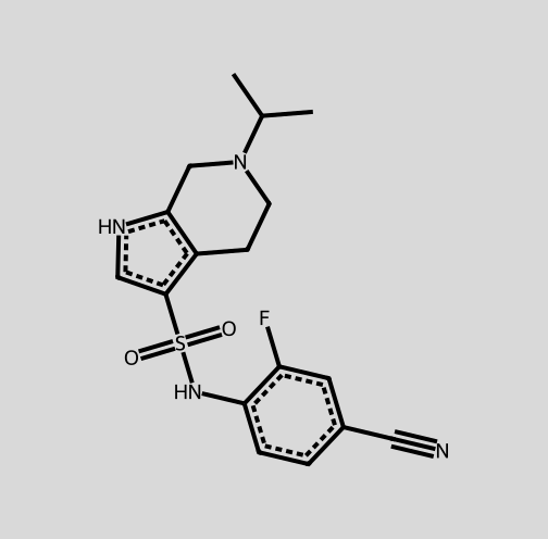 CC(C)N1CCc2c(S(=O)(=O)Nc3ccc(C#N)cc3F)c[nH]c2C1